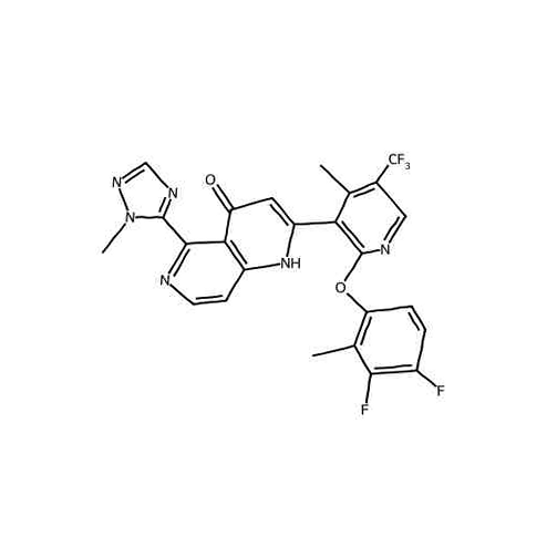 Cc1c(Oc2ncc(C(F)(F)F)c(C)c2-c2cc(=O)c3c(-c4ncnn4C)nccc3[nH]2)ccc(F)c1F